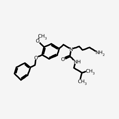 COc1cc(CN(CCCN)C(=O)NCC(C)C)ccc1OCc1ccccc1